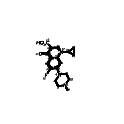 CN1CCN(c2cc3c(cc2F)c(=O)c(C(=O)O)cn3C2CC2)CC1